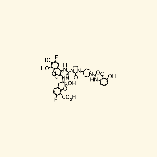 O=C(O)c1c(F)ccc2c1OB(O)[C@@H](NC(=O)[C@H](NC(=O)N1CCN(C3CCN(C(=O)Nc4cccc(O)c4Cl)CC3)C1=O)c1cc(F)c(O)c(O)c1Cl)C2